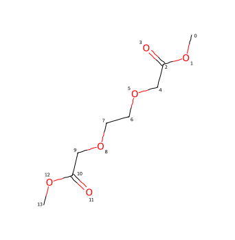 COC(=O)COCCOCC(=O)OC